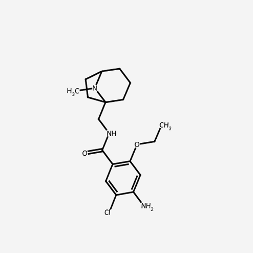 CCOc1cc(N)c(Cl)cc1C(=O)NCC12CCCC(CC1)N2C